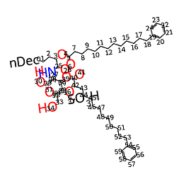 CCCCCCCCCCCCC(OC(=O)CCCCCCCCCCCCc1ccccc1)C(=O)N[C@H]1C(O)O[C@H](CO)[C@@H](OS(=O)(=O)O)[C@@H]1OC(=O)CCCCCCCCCCCCc1ccccc1